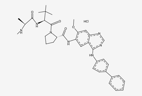 CN[C@@H](C)C(=O)N[C@H](C(=O)N1CCC[C@H]1C(=O)Nc1cc2c(Nc3ccc(-c4ccccc4)cc3)ncnc2cc1OC)C(C)(C)C.Cl